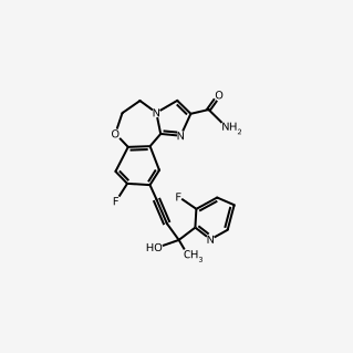 CC(O)(C#Cc1cc2c(cc1F)OCCn1cc(C(N)=O)nc1-2)c1ncccc1F